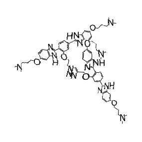 CN(C)CCCOc1ccc2nc(-c3ccc(-c4nc5ccc(OCCCN(C)C)cc5[nH]4)c(OCCn4cc(COc5cc(-c6nc7ccc(OCCCN(C)C)cc7[nH]6)ccc5-c5nc6ccc(OCCCN(C)C)cc6[nH]5)nn4)c3)[nH]c2c1